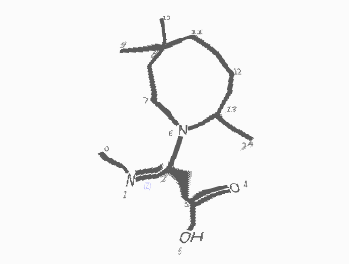 C/N=C(/C(=O)O)N1CC(C)(C)CCC1C